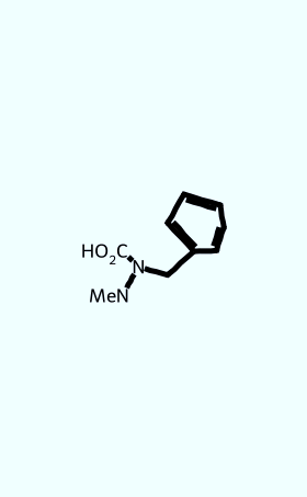 CNN(Cc1ccccc1)C(=O)O